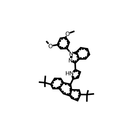 COc1cc(OC)cc(-n2nc(-c3ccc(-c4c5ccc(C(C)(C)C)cc5cc5ccc(C(C)(C)C)cc45)[nH]3)c3ccccc32)c1